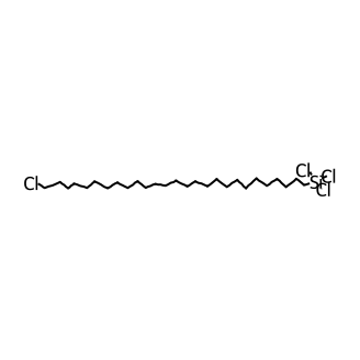 ClCCCCCCCCCCCCCCCCCCCCCCCCCCC[Si](Cl)(Cl)Cl